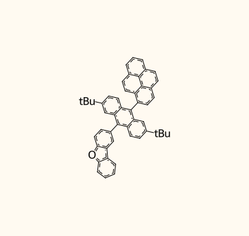 CC(C)(C)c1ccc2c(-c3ccc4ccc5cccc6ccc3c4c56)c3cc(C(C)(C)C)ccc3c(-c3ccc4oc5ccccc5c4c3)c2c1